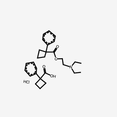 CCN(CC)CCOC(=O)C1(c2ccccc2)CCC1.Cl.O=C(O)C1(c2ccccc2)CCC1